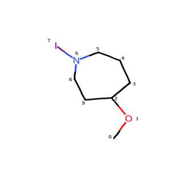 COC1CCCN(I)CC1